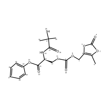 Cc1oc(=O)oc1COC(=O)SC[C@H](NC(=O)C(C)(C)S)C(=O)Oc1ccccc1